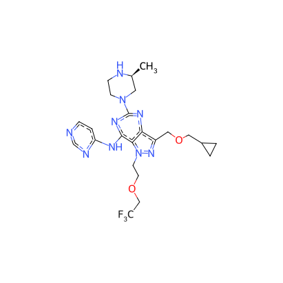 C[C@H]1CN(c2nc(Nc3ccncn3)c3c(n2)c(COCC2CC2)nn3CCOCC(F)(F)F)CCN1